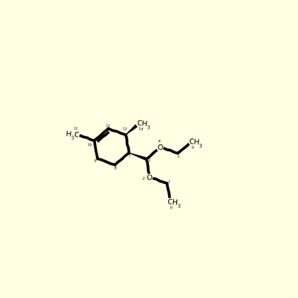 CCOC(OCC)[C@H]1CCC(C)=C[C@H]1C